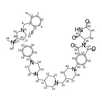 Cc1cccc(F)c1CN1C[C@H](c2ccc(N3CCN(CC4CCN(CC5CCN(c6ccc7c(c6)C(=O)N(C6CCC(=O)NC6=O)C7=O)CC5)CC4)CC3)cc2)[C@@H](N(C)C)C1